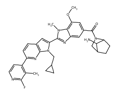 COc1cc(C(=O)N2CC3CCC2C3N)cc2nc(-c3cc4ccc(-c5ccnc(F)c5C)nc4n3CC3CC3)n(C)c12